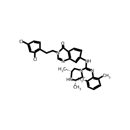 Cc1cccc(C)c1/N=C(/Nc1ccc2c(=O)n(CCc3ccc(Cl)cc3Cl)cnc2c1)N1C[C@@H](C)N[C@@H](C)C1